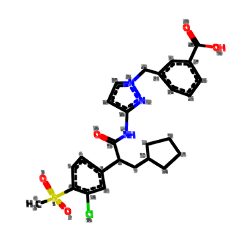 CS(=O)(=O)c1ccc(C(CC2CCCC2)C(=O)Nc2ccn(Cc3cccc(C(=O)O)c3)n2)cc1Cl